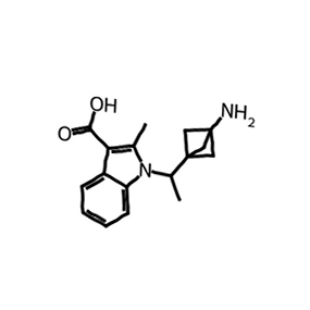 Cc1c(C(=O)O)c2ccccc2n1C(C)C12CC(N)(C1)C2